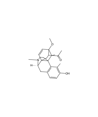 COC12C=CC3(CC1C(C)=O)[C@H]1Cc4ccc(O)c(C)c4C3(CCN1C)C2C